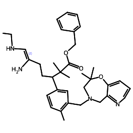 CCN/C=C(\N)CCC(c1ccc(C)c(CN2Cc3ncccc3OC(C)(C)C2)c1)C(C)(C)C(=O)OCc1ccccc1